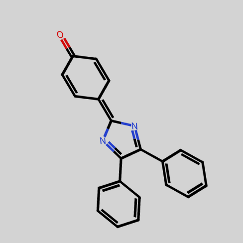 O=C1C=CC(=C2N=C(c3ccccc3)C(c3ccccc3)=N2)C=C1